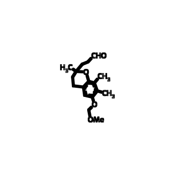 COCOc1cc2c(c(C)c1C)OC(C)(CCC=O)CC2